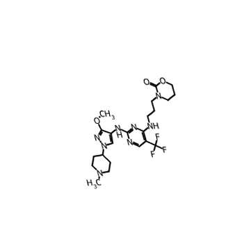 COc1nn(C2CCN(C)CC2)cc1Nc1ncc(C(F)(F)F)c(NCCCN2CCCOC2=O)n1